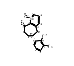 O=C1CC[C@@H](c2cccc(F)c2F)Cc2ccc[n+]([O-])c21